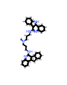 CN(CCCNc1nc2ccccc2c2c1-c1ccccc1C2)CCCNc1nc2ccccc2c2[nH]c3ccccc3c12